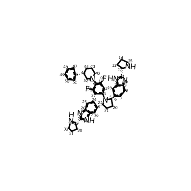 Fc1cc(N2[C@@H](c3ccc4nc([C@@H]5CCCN5)[nH]c4c3)CC[C@@H]2c2ccc3nc([C@@H]4CCCN4)[nH]c3c2)cc(F)c1N1CCC[C@@H](c2ccccc2)C1